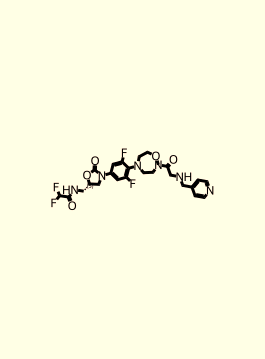 O=C(NC[C@H]1CN(c2cc(F)c(N3CCON(C(=O)CNCc4ccncc4)CC3)c(F)c2)C(=O)O1)C(F)F